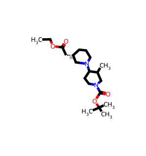 CCOC(=O)C[C@@H]1CCCN(C2CCN(C(=O)OC(C)(C)C)CC2C)C1